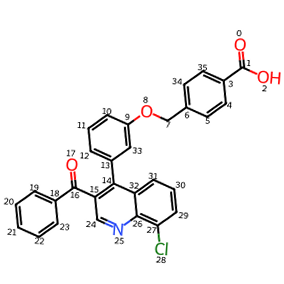 O=C(O)c1ccc(COc2cccc(-c3c(C(=O)c4ccccc4)cnc4c(Cl)cccc34)c2)cc1